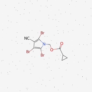 N#Cc1c(Br)c(Br)n(COC(=O)C2CC2)c1Br